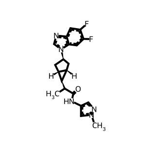 CC(C(=O)Nc1cnn(C)c1)[C@H]1[C@@H]2C[C@@H](n3cnc4cc(F)c(F)cc43)C[C@@H]21